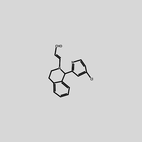 O=CC=CN1CCc2ccccc2C1c1cc(Cl)ccn1